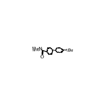 CNC(=O)c1ccc(-c2ccc(C(C)(C)C)cc2)cc1